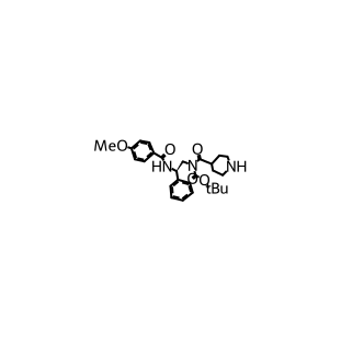 COc1ccc(C(=O)N[C@@H](CN(C(=O)OC(C)(C)C)C(=O)C2CCNCC2)c2ccccc2)cc1